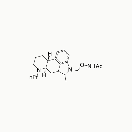 CCCN1CCC[C@@H]2c3cccc4c3C(C[C@H]21)C(C)N4CONC(C)=O